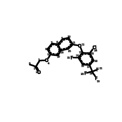 CC(=O)COc1ccc2ccc(Oc3c(F)cc(C(F)(F)F)cc3Cl)cc2c1